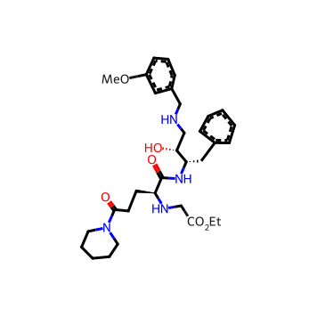 CCOC(=O)CN[C@@H](CCC(=O)N1CCCCC1)C(=O)N[C@@H](Cc1ccccc1)[C@H](O)CNCc1cccc(OC)c1